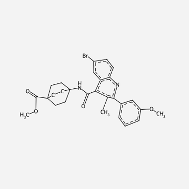 COC(=O)C12CCC(NC(=O)c3c(C)c(-c4cccc(OC)c4)nc4ccc(Br)cc34)(CC1)CC2